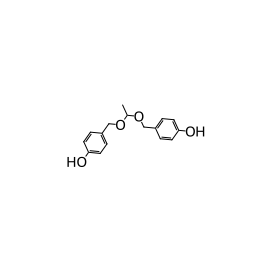 CC(OCc1ccc(O)cc1)OCc1ccc(O)cc1